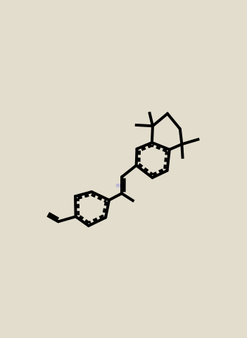 C=Cc1ccc(/C(C)=C/c2ccc3c(c2)C(C)(C)CCC3(C)C)cc1